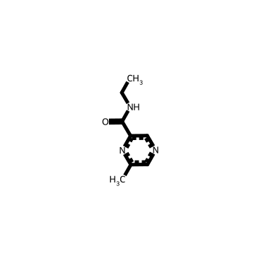 CCNC(=O)c1cncc(C)n1